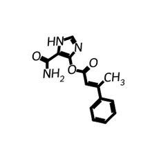 CC(=CC(=O)Oc1nc[nH]c1C(N)=O)c1ccccc1